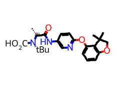 C[C@H](C(=O)Nc1ccc(Oc2cccc3c2C(C)(C)CO3)nc1)N(C(=O)O)C(C)(C)C